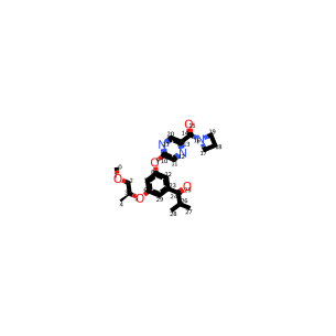 COC[C@H](C)Oc1cc(Oc2cnc(C(=O)N3CCC3)cn2)cc(C(=O)C(C)C)c1